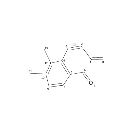 C=C/C=C\c1c(C=O)ccc(C)c1C